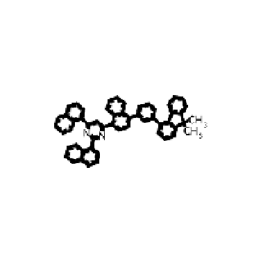 CC1(C)c2ccccc2-c2c(-c3cccc(-c4ccc(-c5cc(-c6cccc7ccccc67)nc(-c6cccc7ccccc67)n5)c5ccccc45)c3)cccc21